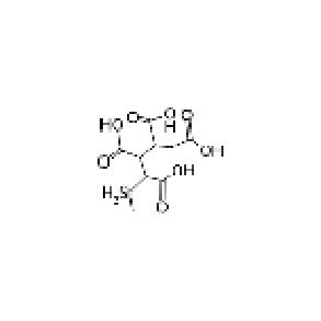 C[SiH2]C(C(=O)O)C(C(=O)O)C(CC(=O)O)C(=O)O